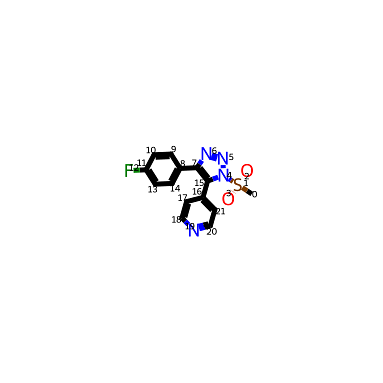 CS(=O)(=O)n1nnc(-c2ccc(F)cc2)c1-c1ccncc1